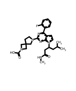 CNC(=O)CC(CC(C)C)n1ccc2c(-c3ccccc3F)nc(N3CCC4(CN(C(=O)O)C4)C3)nc21